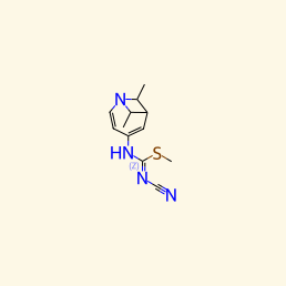 CS/C(=N\C#N)NC1=CC2C(C)N(C=C1)C2C